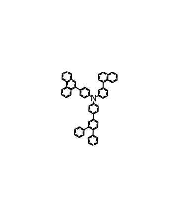 c1ccc(-c2ccc(-c3ccc(N(c4ccc(-c5cc6ccccc6c6ccccc56)cc4)c4cccc(-c5cccc6ccccc56)c4)cc3)cc2-c2ccccc2)cc1